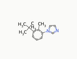 Cc1c(-n2ccnc2)cccc1C(C)(C)C